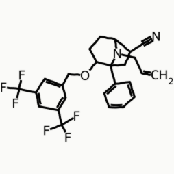 C=CCN1C2CCC(OCc3cc(C(F)(F)F)cc(C(F)(F)F)c3)C1(c1ccccc1)CC2C#N